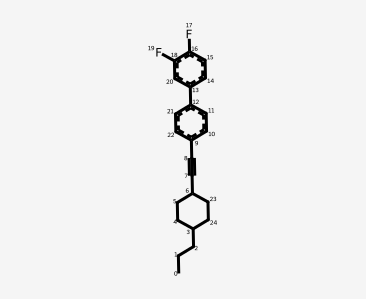 CCCC1CCC(C#Cc2ccc(-c3ccc(F)c(F)c3)cc2)CC1